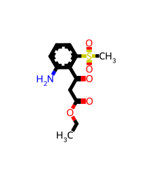 CCOC(=O)CC(=O)c1c(N)cccc1S(C)(=O)=O